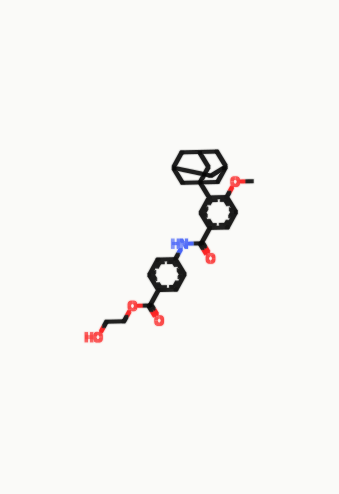 COc1ccc(C(=O)Nc2ccc(C(=O)OCCO)cc2)cc1C12CC3CC(CC(C3)C1)C2